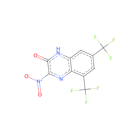 O=c1[nH]c2cc(C(F)(F)F)cc(C(F)(F)F)c2nc1[N+](=O)[O-]